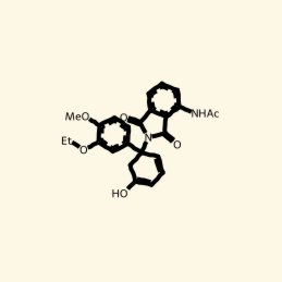 CCOc1cc(C2(N3C(=O)c4cccc(NC(C)=O)c4C3=O)C=CC=C(O)C2)ccc1OC